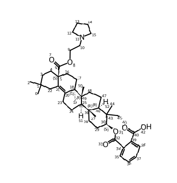 CC1(C)CC[C@]2(C(=O)OCCN3CCCC3)CC[C@]3(C)C(=C2C1)CC[C@@H]1[C@@]2(C)CC[C@H](OC(=O)c4ccccc4C(=O)O)C(C)(C)[C@@H]2CC[C@]13C